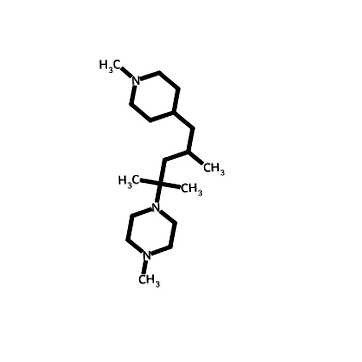 CC(CC1CCN(C)CC1)CC(C)(C)N1CCN(C)CC1